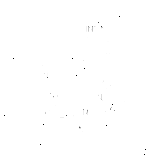 CN1CCN(C(=O)CNc2nccc(-c3nccc(C#Cc4ccc5[nH]ncc5c4)n3)n2)CC1